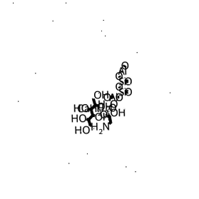 NCC(=O)O.O.O.OCC(O)C(O)C(O)C(O)CO.[CaH2].[O]=[Al][O][Si](=O)O[Si](=O)[O][Al]=[O]